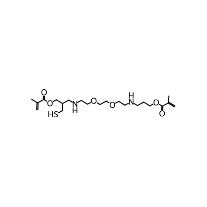 C=C(C)C(=O)OCCCNCCOCCOCCNCC(CS)COC(=O)C(=C)C